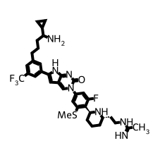 CSc1cc(-n2cc3cc(-c4cc(CCCC(N)C5CC5)cc(C(F)(F)F)c4)[nH]c3nc2=O)cc(F)c1[C@@H]1CCC[C@@H](CCNC(C)=N)N1